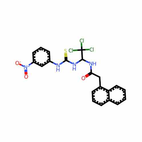 O=C(Cc1cccc2ccccc12)NC(NC(=S)Nc1cccc([N+](=O)[O-])c1)C(Cl)(Cl)Cl